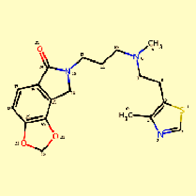 Cc1ncsc1CCN(C)CCCN1Cc2c(ccc3c2OCO3)C1=O